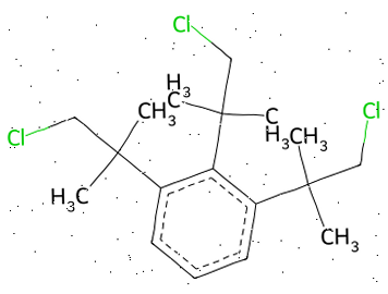 CC(C)(CCl)c1cccc(C(C)(C)CCl)c1C(C)(C)CCl